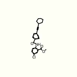 COC(=O)c1cc(Cl)ccc1NC(=O)c1ccc(C#CC2CCCCC2)cc1